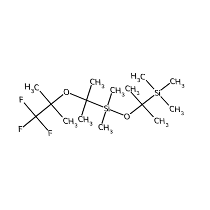 CC(C)(OC(C)(C)[Si](C)(C)OC(C)(C)[Si](C)(C)C)C(F)(F)F